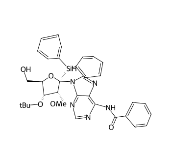 CO[C@@H]1[C@H](OC(C)(C)C)[C@@H](CO)O[C@]1(n1cnc2c(NC(=O)c3ccccc3)ncnc21)[SiH](c1ccccc1)c1ccccc1